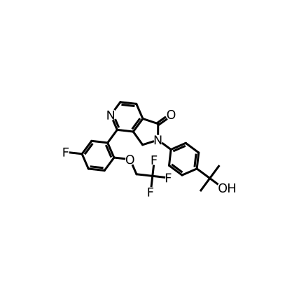 CC(C)(O)c1ccc(N2Cc3c(ccnc3-c3cc(F)ccc3OCC(F)(F)F)C2=O)cc1